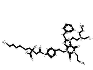 CCCn1c(=O)c2c(nc(Cc3ccccc3)n2CCN(CC)CCO)n(CCc2ccc(NC(=O)CC(N)(CCCCCCN)C(=O)O)cc2)c1=O